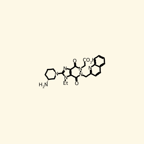 CCn1c(N2CCC[C@@H](N)C2)nc2c(=O)n(CC(=O)O)n(Cc3ccc4ccccc4n3)c(=O)c21